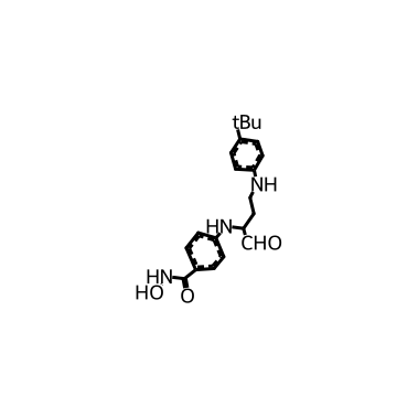 CC(C)(C)c1ccc(NCCC(C=O)Nc2ccc(C(=O)NO)cc2)cc1